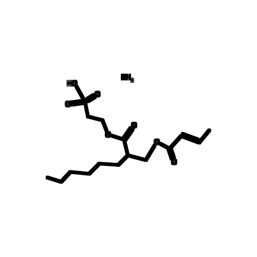 CC=CC(=O)OCC(CCCCCC)C(=O)OCCS(=O)(=O)O.N